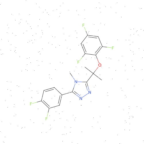 Cn1c(-c2ccc(F)c(F)c2)nnc1C(C)(C)Oc1c(F)cc(F)cc1F